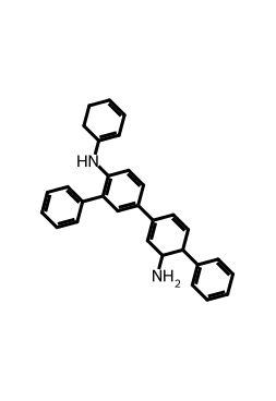 NC1C=C(c2ccc(NC3=CC=CCC3)c(-c3ccccc3)c2)C=CC1c1ccccc1